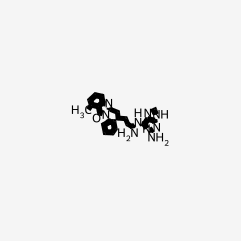 Cc1cccc2nc(CCCCC(N)Nc3nc(N)nc4[nH]cnc34)n(-c3ccccc3)c(=O)c12